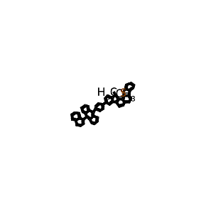 CC1(C)c2ccc(-c3ccc(-c4c5ccccc5c(-c5cccc6ccccc56)c5ccccc45)cc3)cc2-c2ccc3ccc4c5ccccc5sc4c3c21